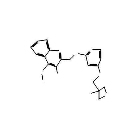 CCCCOc1c(C)c(COc2cc(OCC3(C)COC3)ccn2)nc2ccccc12